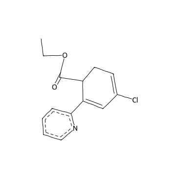 CCOC(=O)C1CC=C(Cl)C=C1c1ccccn1